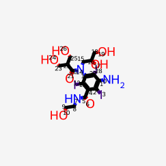 Nc1c(I)c(C(=O)NCCO)c(I)c(N(CC(O)CO)C(=O)C(CO)CO)c1I